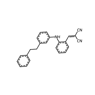 N#CC(C#N)=Cc1ccccc1Nc1cccc(CCc2ccccc2)c1